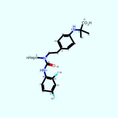 CCCCCCCN(CCc1ccc(NC(C)(C)C(=O)O)cc1)C(=O)Nc1ccc(F)cc1F